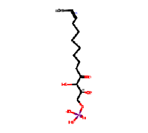 CCCCCCCC/C=C\CCCCCCCC(=O)C(O)[C@@H](O)COP(=O)(O)O